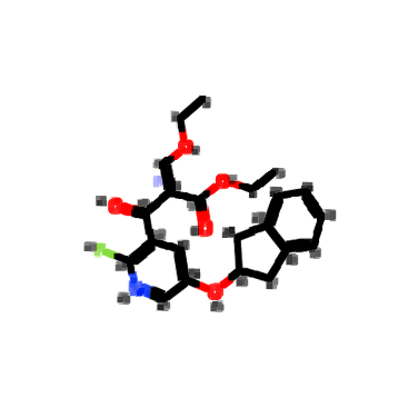 CCO/C=C(\C(=O)OCC)C(=O)c1cc(OC2Cc3ccccc3C2)cnc1F